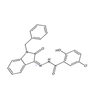 O=C(N/N=C1\C(=O)N(Cc2ccccc2)c2ccccc21)c1cc(Cl)ccc1O